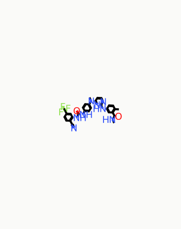 CNC(=O)c1cc(Nc2nccc(N(C)c3ccc(NC(=O)Nc4cc(C(F)(F)F)ccc4C#N)cc3)n2)ccc1C